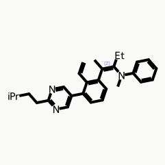 C=Cc1c(/C(C)=C(/CC)N(C)c2ccccc2)cccc1-c1cnc(CCC(C)C)nc1